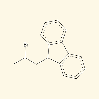 CC(Br)CC1c2ccccc2-c2ccccc21